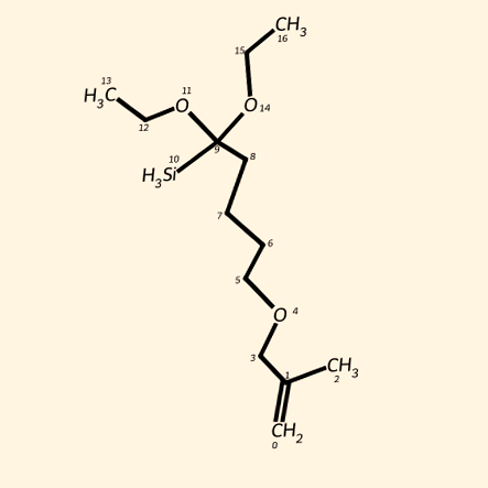 C=C(C)COCCCCC([SiH3])(OCC)OCC